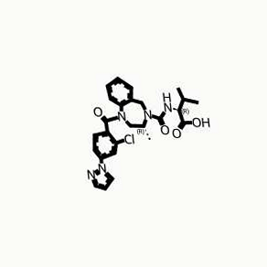 CC(C)[C@@H](NC(=O)N1Cc2ccccc2N(C(=O)c2ccc(-n3cccn3)cc2Cl)C[C@H]1C)C(=O)O